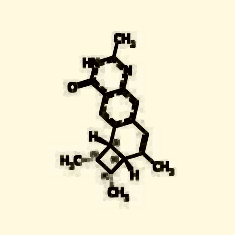 CC1=Cc2cc3nc(C)[nH]c(=O)c3cc2[C@H]2[C@@H](C)[C@@H](C)[C@@H]12